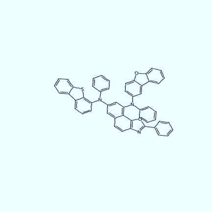 c1ccc(-c2nc3ccc4cc(N(c5ccccc5)c5cccc6c5sc5ccccc56)cc(N(c5ccccc5)c5ccc6oc7ccccc7c6c5)c4c3o2)cc1